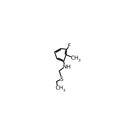 CCSCNc1cccc(F)c1C